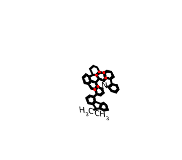 CC1(C)c2ccccc2-c2c(-c3ccc(N(c4ccccc4-c4ccccc4)c4ccccc4-c4cccc5cccc(C6CCCCC6)c45)cc3)cccc21